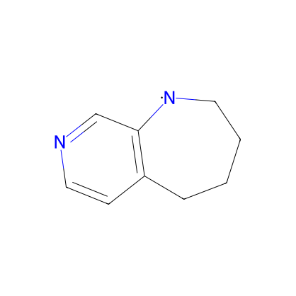 c1cc2c(cn1)[N]CCCC2